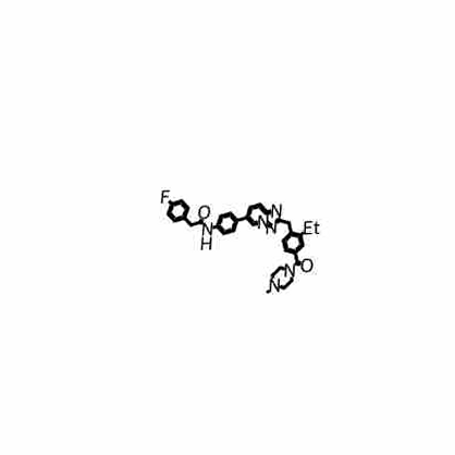 CCc1cc(C(=O)N2CCN(C)CC2)ccc1Cc1nc2ccc(-c3ccc(NC(=O)Cc4ccc(F)cc4)cc3)cn2n1